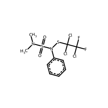 CN(C)S(=O)(=O)N(SC(Cl)(Cl)C(F)(F)Cl)c1ccccc1